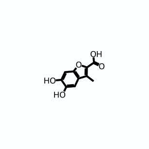 Cc1c(C(=O)O)oc2cc(O)c(O)cc12